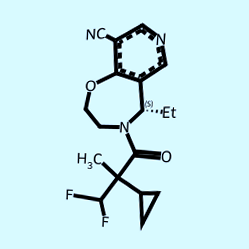 CC[C@H]1c2cncc(C#N)c2OCCN1C(=O)C(C)(C(F)F)C1CC1